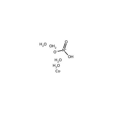 O.O.O.O.O=[N+]([O-])O.[Co]